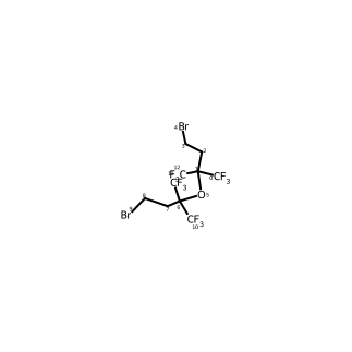 FC(F)(F)C(CCBr)(OC(CCBr)(C(F)(F)F)C(F)(F)F)C(F)(F)F